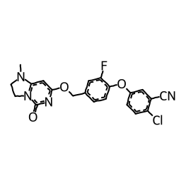 CN1CCn2c1cc(OCc1ccc(Oc3ccc(Cl)c(C#N)c3)c(F)c1)nc2=O